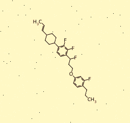 C/C=C/C1CCC(c2ccc(C(F)CCOc3ccc(CCC)c(F)c3)c(F)c2F)CC1